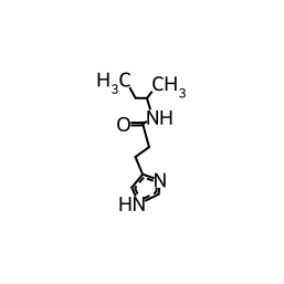 CCC(C)NC(=O)CCc1c[nH]cn1